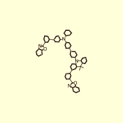 CC1(C)c2ccccc2N(c2ccc(-c3ccc(N(c4ccccc4)c4ccc(-c5cccc(-c6nc7ccccc7o6)c5)cc4)cc3)cc2)c2ccc(-c3cccc(-c4nc5ccccc5o4)c3)cc21